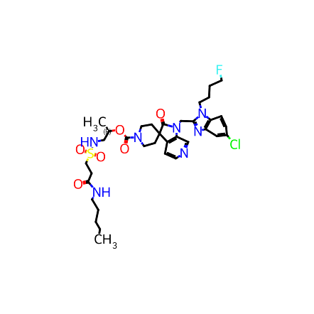 CCCCCNC(=O)CCS(=O)(=O)NC[C@@H](C)OC(=O)N1CCC2(CC1)C(=O)N(Cc1nc3cc(Cl)ccc3n1CCCCF)c1cnccc12